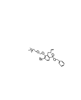 C=CCCc1c(C(=O)OCc2ccccc2)ccc(Br)c1OCOCC[Si](C)(C)C